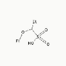 CCOC(CC)S(=O)(=O)O